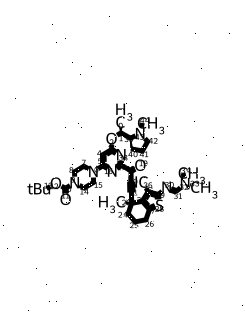 C[C@H](Oc1cc(N2CCN(C(=O)OC(C)(C)C)CC2)nc(C(=O)C#C[C@@]2(C)CCCc3sc(/N=C/N(C)C)c(C#N)c32)n1)[C@@H]1CCCN1C